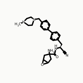 CN1CCN(Cc2ccc(-c3ccc(C[C@@H](C#N)NC(=O)C4(N)CC5OC5C4)cc3)cc2)CC1